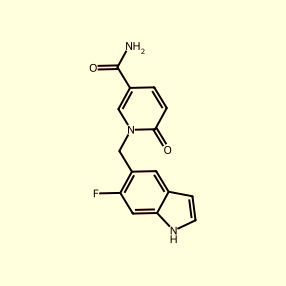 NC(=O)c1ccc(=O)n(Cc2cc3cc[nH]c3cc2F)c1